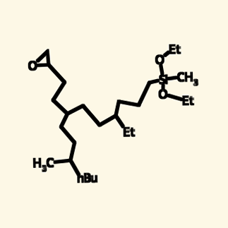 CCCCC(C)CCC(CCC(CC)CCC[Si](C)(OCC)OCC)CCC1CO1